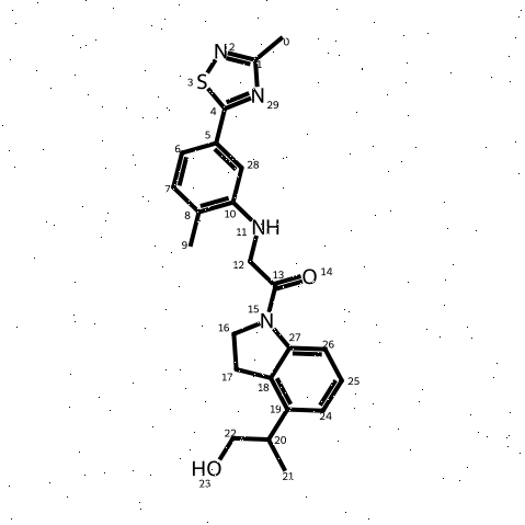 Cc1nsc(-c2ccc(C)c(NCC(=O)N3CCc4c(C(C)CO)cccc43)c2)n1